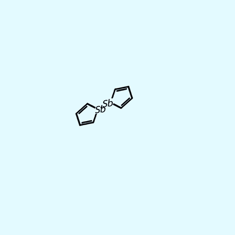 C1=[CH][Sb]([Sb]2[CH]=CC=[CH]2)[CH]=C1